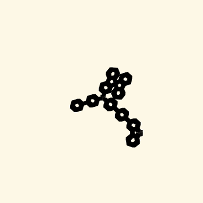 c1ccc(-c2ccc(N(c3ccc(-c4ccc(-c5ccc6sc7ccccc7c6c5)cc4)cc3)c3ccc4c(c3)C3(c5ccccc5-c5ccccc53)c3ccccc3-4)cc2)cc1